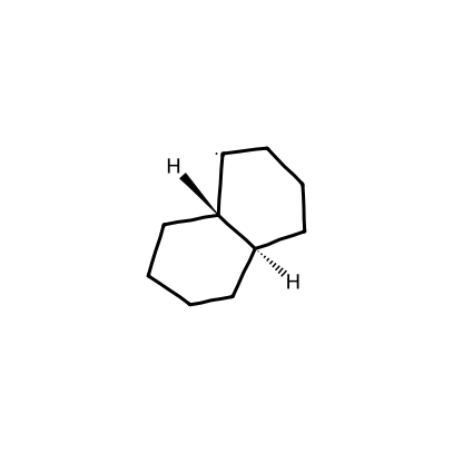 [CH]1CCC[C@H]2CCCC[C@H]12